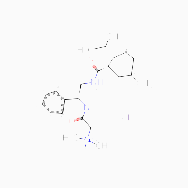 CC(C)[C@@H]1CC[C@@H](C)C[C@H]1C(=O)NC[C@@H](NC(=O)C[N+](C)(C)C)c1ccccc1.[I-]